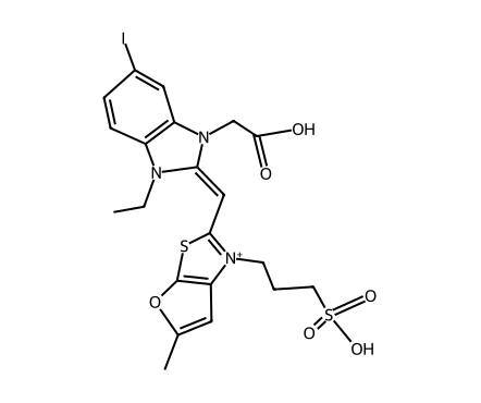 CCN1C(=Cc2sc3oc(C)cc3[n+]2CCCS(=O)(=O)O)N(CC(=O)O)c2cc(I)ccc21